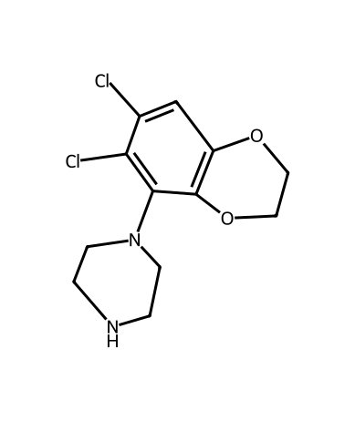 Clc1cc2c(c(N3CCNCC3)c1Cl)OCCO2